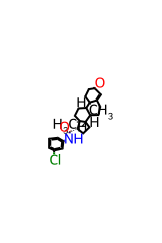 C[C@]12CC[C@H]3[C@@H](CCC4=CC(=O)CC[C@@]43C)[C@@H]1CC[C@@H]2C(=O)Nc1cccc(Cl)c1